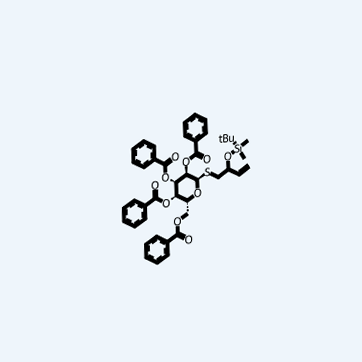 C=CC(CS[C@H]1O[C@H](COC(=O)c2ccccc2)[C@H](OC(=O)c2ccccc2)[C@H](OC(=O)c2ccccc2)[C@H]1OC(=O)c1ccccc1)O[Si](C)(C)C(C)(C)C